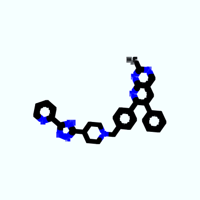 Cc1ncc2cc(-c3ccccc3)c(-c3ccc(CN4CCC(c5nnc(-c6ccccn6)[nH]5)CC4)cc3)nc2n1